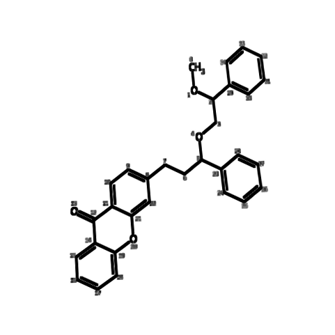 COC(COC(CCc1ccc2c(=O)c3ccccc3oc2c1)c1ccccc1)c1ccccc1